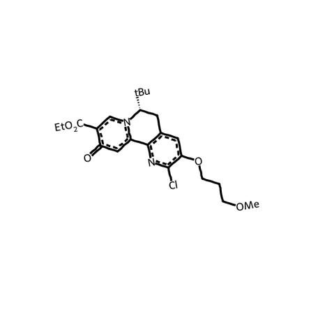 CCOC(=O)c1cn2c(cc1=O)-c1nc(Cl)c(OCCCOC)cc1C[C@H]2C(C)(C)C